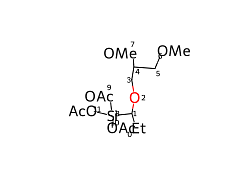 CCC(OCC(COC)OC)[Si](OC(C)=O)(OC(C)=O)OC(C)=O